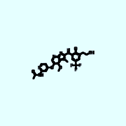 COc1c(Oc2ccnc(NC(C)=O)c2)cnc2nc(Nc3cc(C(F)(F)F)cn(CCO)c3=O)n(C)c12